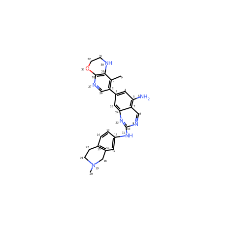 Cc1c(-c2cc(N)c3cnc(Nc4ccc5c(c4)CN(C)CC5)nc3c2)cnc2c1NCCO2